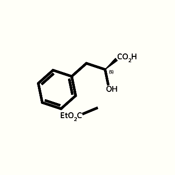 CCOC(C)=O.O=C(O)[C@@H](O)Cc1ccccc1